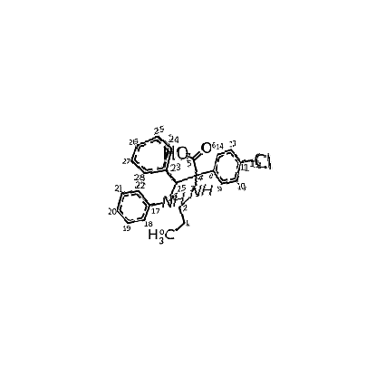 CCCNC(C(=O)O)(c1ccc(Cl)cc1)C(Nc1ccccc1)c1ccccc1